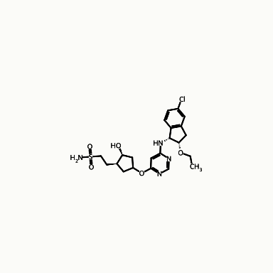 CCO[C@H]1Cc2cc(Cl)ccc2[C@H]1Nc1cc(OC2C[C@@H](CCS(N)(=O)=O)[C@@H](O)C2)ncn1